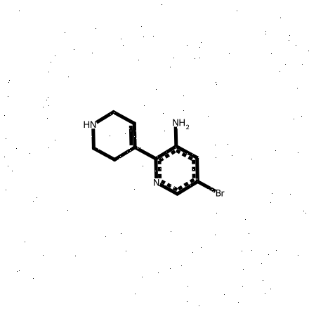 Nc1cc(Br)cnc1C1=CCNCC1